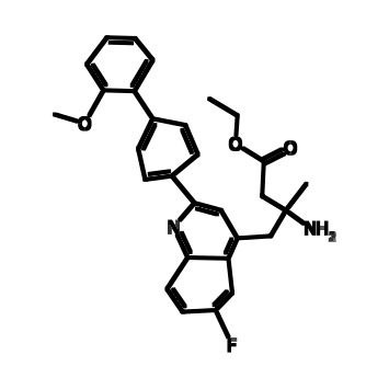 CCOC(=O)CC(C)(N)Cc1cc(-c2ccc(-c3ccccc3OC)cc2)nc2ccc(F)cc12